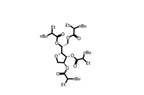 CCCCC(CC)C(=O)OC[C@@H](OC(=O)C(CC)CCCC)[C@H]1OC[C@H](OC(=O)C(CC)CCCC)[C@H]1OC(=O)C(CC)CCCC